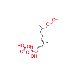 COCOCC(C)CCC=C(C)/C=C/OP(=O)(O)OP(=O)(O)O